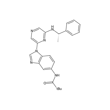 C[C@H](Nc1cncc(-n2cnc3cc(NC(=O)C(C)(C)C)ccc32)n1)c1ccccc1